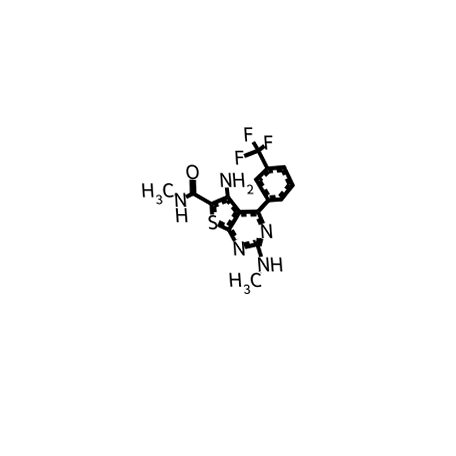 CNC(=O)c1sc2nc(NC)nc(-c3cccc(C(F)(F)F)c3)c2c1N